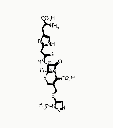 Cn1nncc1SCC1=C(C(=O)O)N2C(=O)[C@@H](NC(=S)Cc3nc(CC(N)C(=O)O)c[nH]3)[C@@H]2SC1